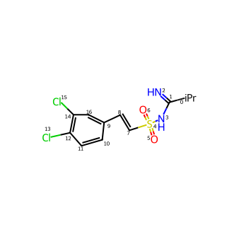 CC(C)C(=N)NS(=O)(=O)/C=C/c1ccc(Cl)c(Cl)c1